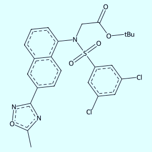 Cc1nc(-c2ccc3c(N(CC(=O)OC(C)(C)C)S(=O)(=O)c4cc(Cl)cc(Cl)c4)cccc3c2)no1